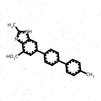 Cc1ccc(-c2ccc(-c3cc(C(=O)O)c4nc(C)[nH]c4c3)cc2)cc1